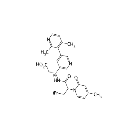 Cc1ccn(C(CC(C)C)C(=O)N[C@H](CC(=O)O)c2cncc(-c3c(C)ccnc3C)c2)c(=O)c1